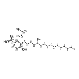 CCCCCCCCCCCC(F)CCCCc1c(O)ccc(C(=O)O)c1CCC(C)F